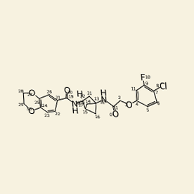 O=C(COc1ccc(Cl)c(F)c1)NC12CC(C1)[C@@H](NC(=O)c1ccc3c(c1)OCCO3)C2